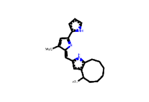 CCCCC1CCCCCCc2[nH]c(/C=C3\N=C(c4ccc[nH]4)C=C3OC)cc21